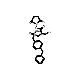 COP(=O)(Cc1ccc(Cc2ccccc2)cc1)CC(CC(C)C)C(=O)ON1C(=O)CCC1=O